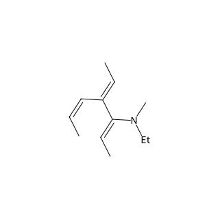 C\C=C/C(=C\C)C(=C/C)/N(C)CC